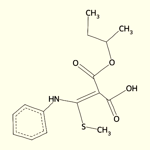 CCC(C)OC(=O)C(C(=O)O)=C(Nc1ccccc1)SC